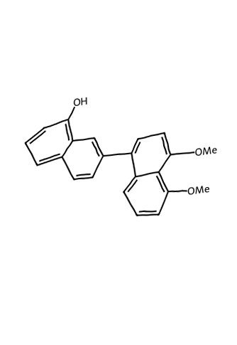 COc1cccc2c(-c3ccc4cccc(O)c4c3)ccc(OC)c12